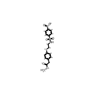 COC(=O)Cc1ccc(SCCNS(=O)(=O)c2ccc([N+](=O)[O-])cc2)cc1